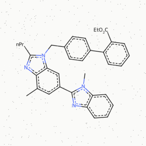 CCCc1nc2c(C)cc(-c3nc4ccccc4n3C)cc2n1Cc1ccc(-c2ccccc2C(=O)OCC)cc1